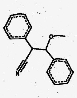 COC([C](C#N)c1ccccc1)c1ccccc1